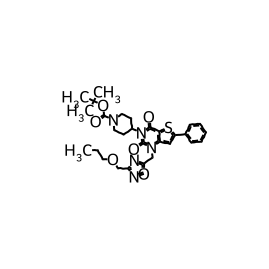 CCCOCc1noc(Cn2c(=O)n(C3CCN(C(=O)OC(C)(C)C)CC3)c(=O)c3sc(-c4ccccc4)cc32)n1